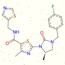 Cc1nc(N2C(=O)N(Cc3ccc(F)cc3)C[C@H]2C)sc1C(=O)NCc1cncs1